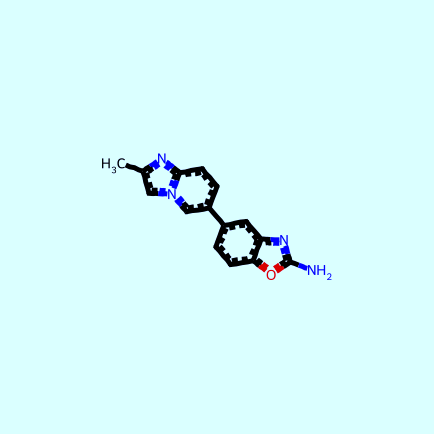 Cc1cn2cc(-c3ccc4oc(N)nc4c3)ccc2n1